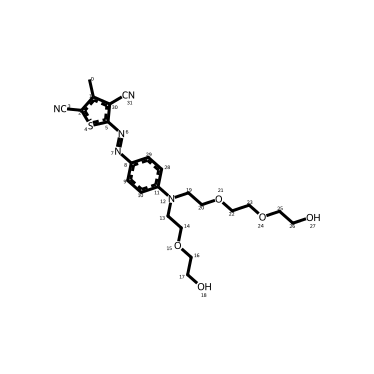 Cc1c(C#N)sc(/N=N/c2ccc(N(CCOCCO)CCOCCOCCO)cc2)c1C#N